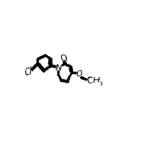 CCOC1=CC(=O)N(c2cccc(Cl)c2)CCC1